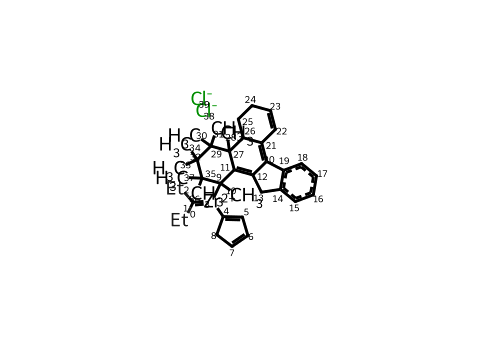 CC[C](CC)=[Zr+2]([C]1=CC=CC1)[C]1(C)C2=C3Cc4ccccc4C3=C3C=CCCC3C2(C)C(C)(C)C(C)(C)C1(C)C.[Cl-].[Cl-]